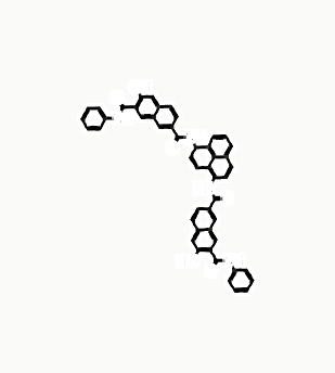 O=C(Nc1ccc2cccc3c2c1C=CC3NC(=O)c1ccc2cc(O)c(C(=O)Nc3ccccc3)cc2c1)c1ccc2cc(O)c(C(=O)Nc3ccccc3)cc2c1